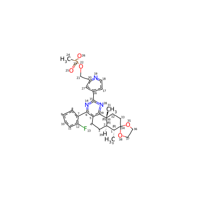 C[C@@H]1[C@H]2CCc3c(-c4ccccc4F)nc(-c4ccnc(COS(C)(=O)=O)c4)nc3[C@]2(C)CCC12OCCO2